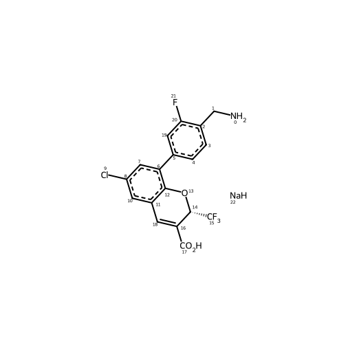 NCc1ccc(-c2cc(Cl)cc3c2O[C@H](C(F)(F)F)C(C(=O)O)=C3)cc1F.[NaH]